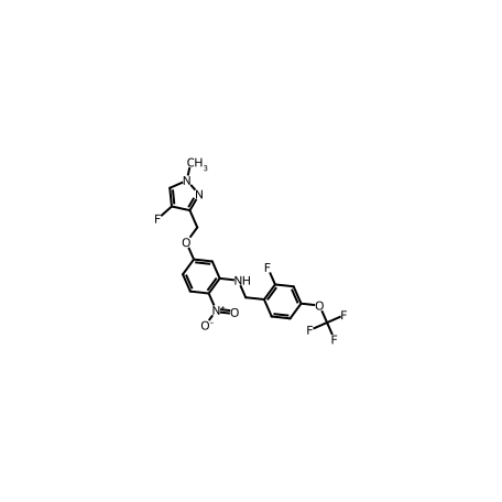 Cn1cc(F)c(COc2ccc([N+](=O)[O-])c(NCc3ccc(OC(F)(F)F)cc3F)c2)n1